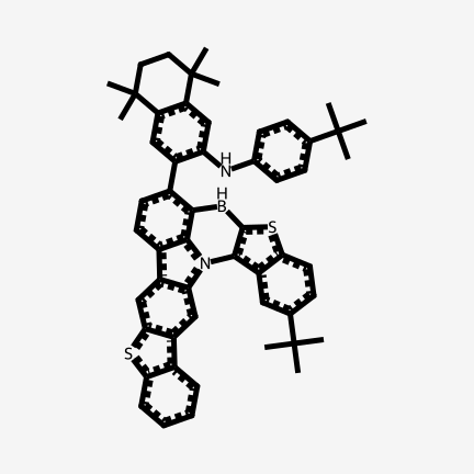 CC(C)(C)c1ccc(Nc2cc3c(cc2-c2ccc4c5cc6sc7ccccc7c6cc5n5c4c2Bc2sc4ccc(C(C)(C)C)cc4c2-5)C(C)(C)CCC3(C)C)cc1